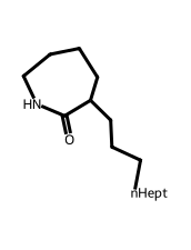 CCCCCCCCCCC1CCCCNC1=O